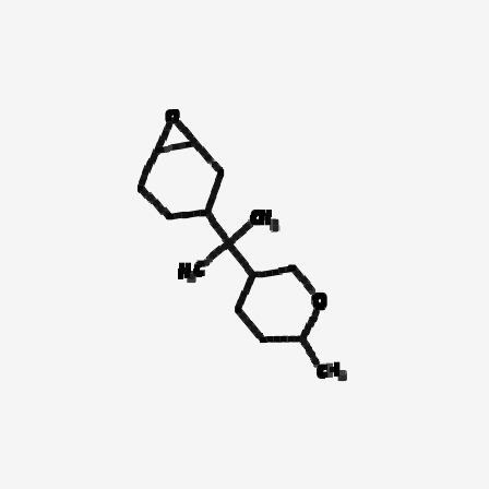 CC1CCC(C(C)(C)C2CCC3OC3C2)CO1